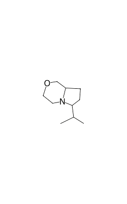 CC(C)C1CCC2COCCN21